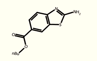 CCCCOC(=O)c1ccc2nc(N)sc2c1